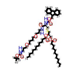 CCCCCCCCCCCC(=O)OC[C@H](CSC[C@H](NC(=O)OCC1c2ccccc2-c2ccccc21)C(=O)NCCCOCCCCOCCCNC(=O)OC(C)(C)C)OC(=O)CCCCCCCCCCC